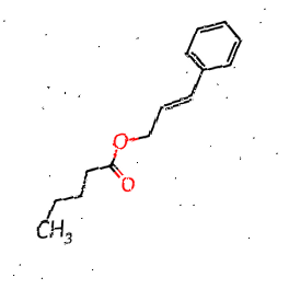 CCCCC(=O)OC/C=C/c1ccccc1